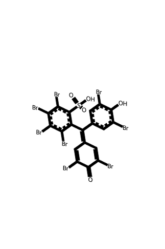 O=C1C(Br)=CC(=C(c2cc(Br)c(O)c(Br)c2)c2c(Br)c(Br)c(Br)c(Br)c2S(=O)(=O)O)C=C1Br